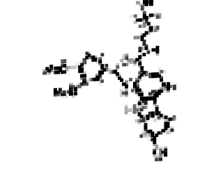 COc1ccc(CNc2c(C(=O)NCCC(C)(C)O)cnc3c2[nH]c2cc(C#N)ccc23)cc1OC